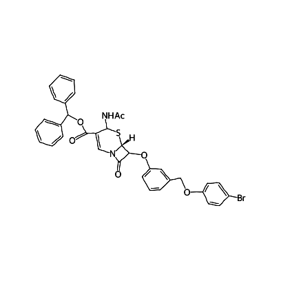 CC(=O)NC1S[C@@H]2C(Oc3cccc(COc4ccc(Br)cc4)c3)C(=O)N2C=C1C(=O)OC(c1ccccc1)c1ccccc1